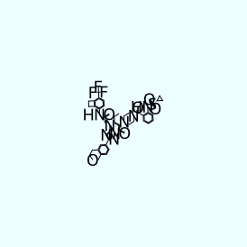 CCc1c(N2CCN(C(=O)c3ccccc3NS(=O)(=O)C3CC3)CC2)c(=O)n2nc(-c3ccc4c(c3)CCOC4)nc2n1CC(=O)Nc1ccc(C(F)(F)F)c2c1CC2